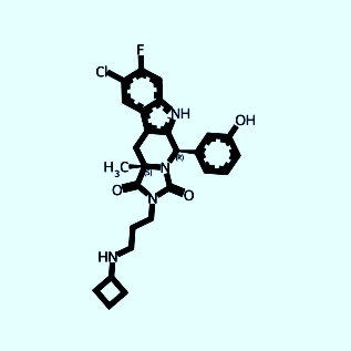 C[C@@]12Cc3c([nH]c4cc(F)c(Cl)cc34)[C@@H](c3cccc(O)c3)N1C(=O)N(CCCNC1CCC1)C2=O